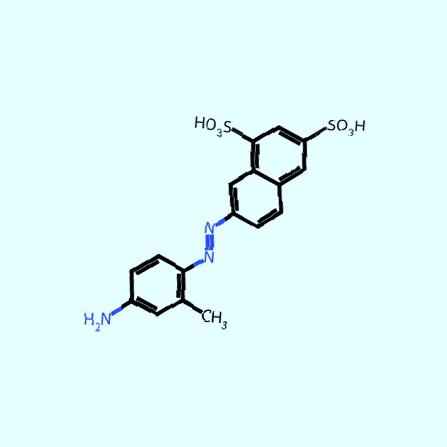 Cc1cc(N)ccc1/N=N/c1ccc2cc(S(=O)(=O)O)cc(S(=O)(=O)O)c2c1